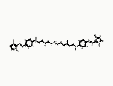 Cn1cc[n+](C)c1/N=N/c1ccc(NCCNCCSSCCNCCNc2ccc(/N=N/c3n(C)cc[n+]3C)cc2)cc1